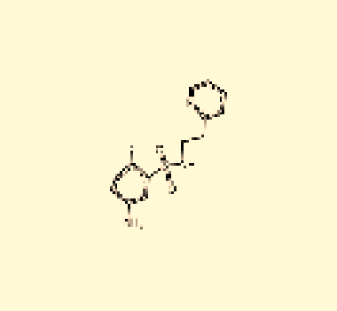 Nc1ccc(F)c(S(=O)(=O)NCCc2ccccn2)c1